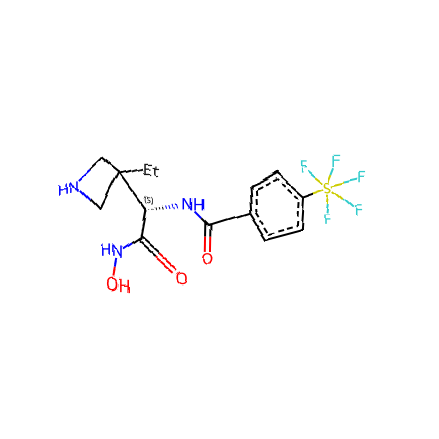 CCC1([C@H](NC(=O)c2ccc(S(F)(F)(F)(F)F)cc2)C(=O)NO)CNC1